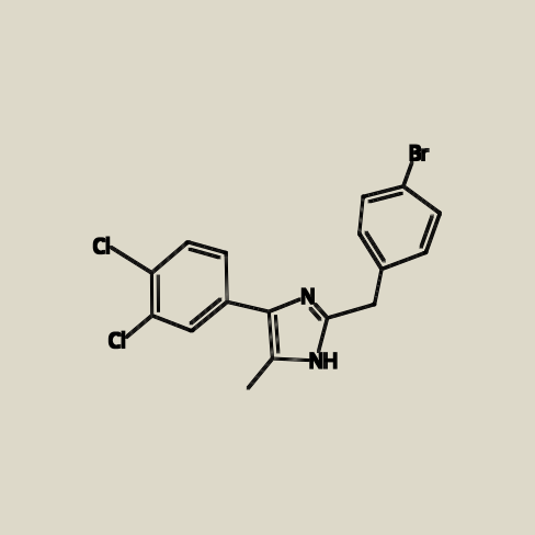 Cc1[nH]c(Cc2ccc(Br)cc2)nc1-c1ccc(Cl)c(Cl)c1